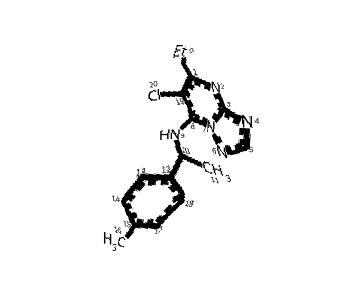 CCc1nc2ncnn2c(NC(C)c2ccc(C)cc2)c1Cl